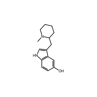 CN1CCCCC1Cc1c[nH]c2ccc(O)cc12